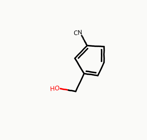 [C-]#[N+]c1cccc(CO)c1